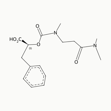 CN(C)C(=O)CCN(C)C(=O)O[C@@H](Cc1ccccc1)C(=O)O